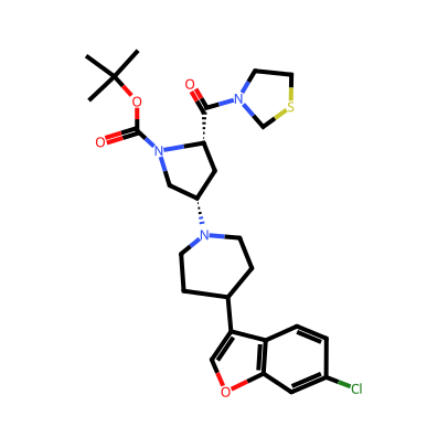 CC(C)(C)OC(=O)N1C[C@@H](N2CCC(c3coc4cc(Cl)ccc34)CC2)C[C@H]1C(=O)N1CCSC1